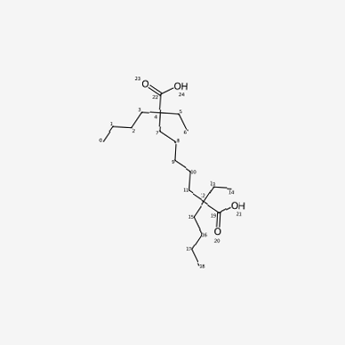 CCCCC(CC)(CCCCCC(CC)(CCCC)C(=O)O)C(=O)O